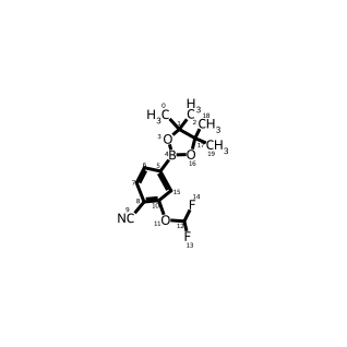 CC1(C)OB(c2ccc(C#N)c(OC(F)F)c2)OC1(C)C